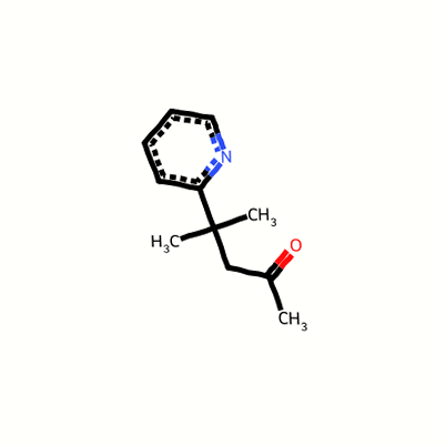 CC(=O)CC(C)(C)c1ccccn1